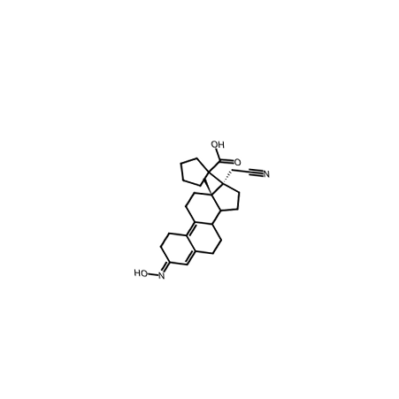 C[C@]12CCC3=C4CCC(=NO)C=C4CCC3C1CC[C@]2(CC#N)C1(C(=O)O)CCCC1